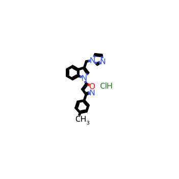 Cc1ccc(-c2cc(-n3cc(Cn4ccnc4)c4ccccc43)on2)cc1.Cl